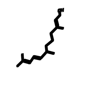 CC(C)=C/C=C/C(C)CCC/C(C)=C/CO